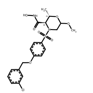 COC1CN(S(=O)(=O)c2ccc(OCc3cccc(Cl)c3)cc2)[C@@H](C(=O)NO)[C@H](C)O1